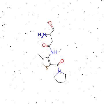 Cc1csc(C(=O)N2CCCC2)c1NC(=O)CC(N)C=O